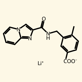 Cc1ccc(C(=O)[O-])cc1CNC(=O)c1cn2ccccc2n1.[Li+]